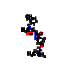 CCc1ccccc1CN(C)C[C@@H](O)CNC(=O)c1ccc(OCCN(C)CC)cc1